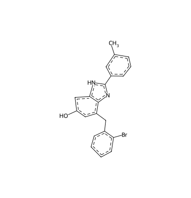 Cc1cccc(-c2nc3c(Cc4ccccc4Br)cc(O)cc3[nH]2)c1